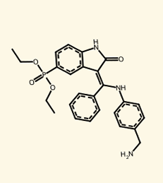 CCOP(=O)(OCC)c1ccc2c(c1)/C(=C(/Nc1ccc(CN)cc1)c1ccccc1)C(=O)N2